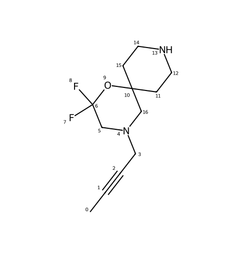 CC#CCN1CC(F)(F)OC2(CCNCC2)C1